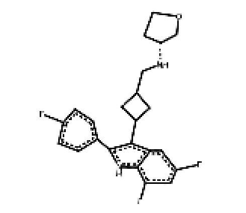 Fc1ccc(-c2[nH]c3c(F)cc(F)cc3c2C2CC(CN[C@@H]3CCOC3)C2)cc1